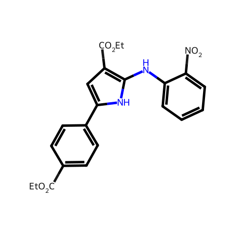 CCOC(=O)c1ccc(-c2cc(C(=O)OCC)c(Nc3ccccc3[N+](=O)[O-])[nH]2)cc1